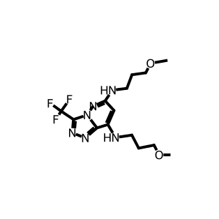 COCCCNc1cc(NCCCOC)c2nnc(C(F)(F)F)n2n1